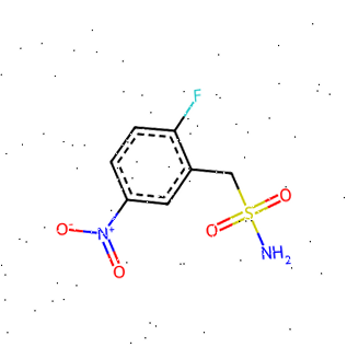 NS(=O)(=O)Cc1cc([N+](=O)[O-])ccc1F